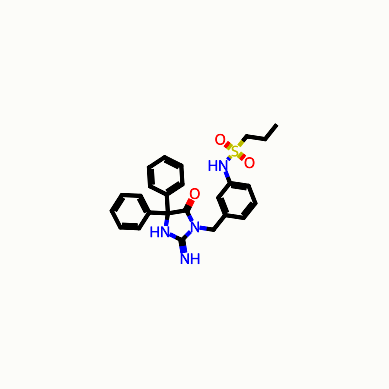 CCCS(=O)(=O)Nc1cccc(CN2C(=N)NC(c3ccccc3)(c3ccccc3)C2=O)c1